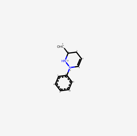 O=CC1CC=CN(c2ccccc2)N1